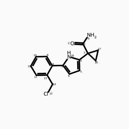 NC(=O)C1(c2ccc(-c3ccccc3CCl)[nH]2)CC1